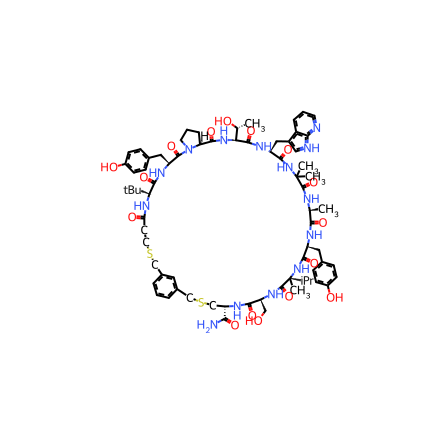 CC(C)[C@]1(C)NC(=O)[C@H](Cc2ccc(O)cc2)NC(=O)[C@H](C)NC(=O)C(C)(C)NC(=O)[C@H](Cc2c[nH]c3ncccc23)NC(=O)[C@H]([C@@H](C)O)NC(=O)[C@@H]2CCCN2C(=O)[C@H](Cc2ccc(O)cc2)NC(=O)[C@H](C(C)(C)C)NC(=O)CCSCc2cccc(c2)CSC[C@@H](C(N)=O)NC(=O)[C@H](CO)NC1=O